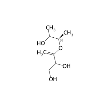 C=C(O[C@H](C)C(C)O)C(O)CO